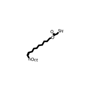 CCCCCCCC/C=C\CCCCCCCCOC(=O)CS